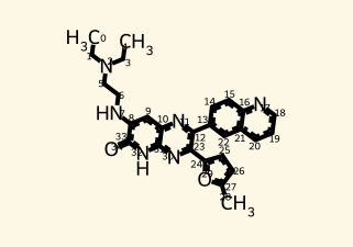 CCN(CC)CCNc1cc2nc(-c3ccc4ncccc4c3)c(-c3ccc(C)o3)nc2[nH]c1=O